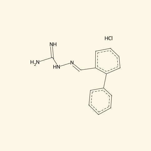 Cl.N=C(N)NN=Cc1ccccc1-c1ccccc1